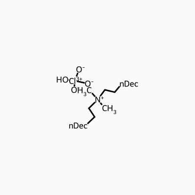 CCCCCCCCCCCC[N+](C)(C)CCCCCCCCCCCC.[O-][Cl+3]([O-])([O-])O